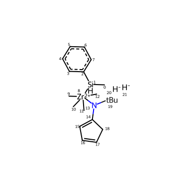 C[SiH](c1ccccc1)[Zr+2]([CH3])([CH3])([CH3])([CH3])[N](C1=CC=CC1)C(C)(C)C.[H-].[H-]